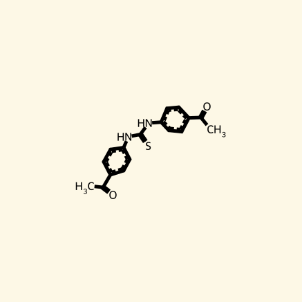 CC(=O)c1ccc(NC(=S)Nc2ccc(C(C)=O)cc2)cc1